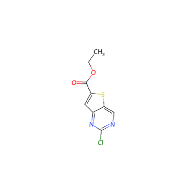 CCOC(=O)c1cc2nc(Cl)ncc2s1